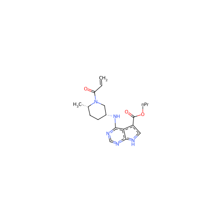 C=CC(=O)N1C[C@H](Nc2ncnc3[nH]cc(C(=O)OCCC)c23)CC[C@@H]1C